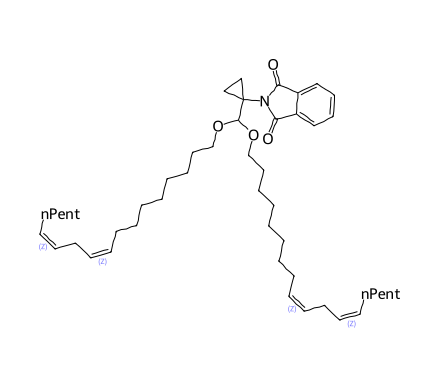 CCCCC/C=C\C/C=C\CCCCCCCCOC(OCCCCCCCC/C=C\C/C=C\CCCCC)C1(N2C(=O)c3ccccc3C2=O)CC1